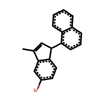 CC1=CC(c2cccc3ccccc23)c2ccc(Br)cc21